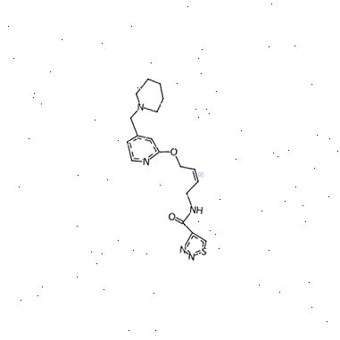 O=C(NC/C=C\COc1cc(CN2CCCCC2)ccn1)c1csnn1